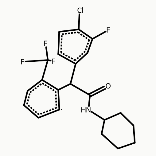 O=C(NC1CCCCC1)C(c1ccc(Cl)c(F)c1)c1[c]cccc1C(F)(F)F